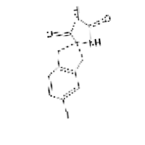 O=C1NC(=O)C2(Cc3ccc(I)cc3C2)N1